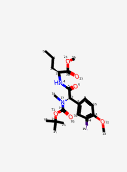 CCC[C@H](NC(=O)[C@H](c1ccc(OC)c(I)c1)N(C)C(=O)OC(C)(C)C)C(=O)OC